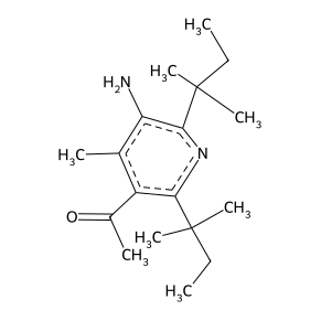 CCC(C)(C)c1nc(C(C)(C)CC)c(C(C)=O)c(C)c1N